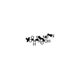 CC(C)(C)OC(=O)Nc1nc(/C(=N/OCC#N)C(=O)O)cs1